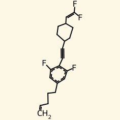 C=CCCCc1cc(F)c(C#CC2CCC(C=C(F)F)CC2)c(F)c1